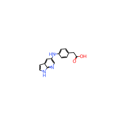 O=C(O)Cc1ccc(Nc2cnc3[nH]ccc3c2)cc1